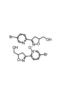 OCC1CC(c2ccc(Br)cn2)=NO1.[O-][n+]1cc(Br)ccc1C1=NOC(CO)C1